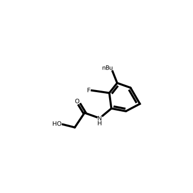 CCCCc1cccc(NC(=O)CO)c1F